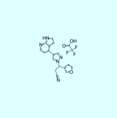 N#CCC(c1ccoc1)n1cc(-c2ccnc3[nH]ccc23)cn1.O=C(O)C(F)(F)F